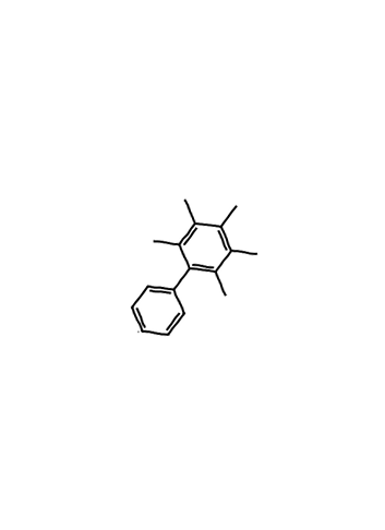 Cc1c(C)c(C)c(-c2cc[c]cc2)c(C)c1C